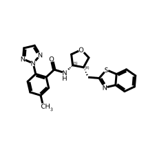 Cc1ccc(-n2nccn2)c(C(=O)N[C@@H]2COC[C@@H]2Cc2nc3ccccc3s2)c1